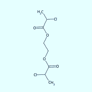 CC(Cl)C(=O)OCCOC(=O)C(C)Cl